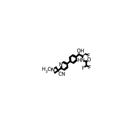 CN1CC(C#N)(c2ccc(-c3ccc([C@H](O)[C@@H](CF)NC(=O)C(F)F)cc3)cn2)C1